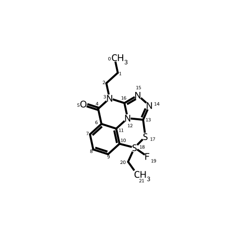 CCCn1c(=O)c2cccc3c2n2c(nnc12)SS3(F)CC